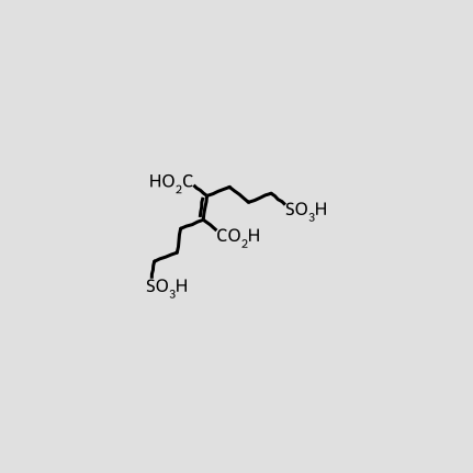 O=C(O)/C(CCCS(=O)(=O)O)=C(\CCCS(=O)(=O)O)C(=O)O